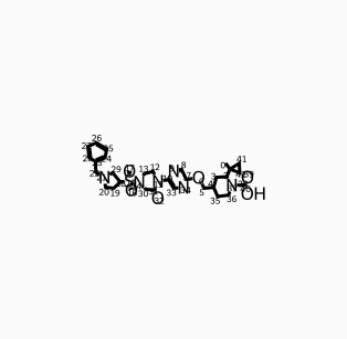 CC1(C2CC(COc3cnc(N4CCN(S(=O)(=O)C5CCN(Cc6ccccc6)C5)CC4=O)cn3)CCN2C(=O)O)CC1